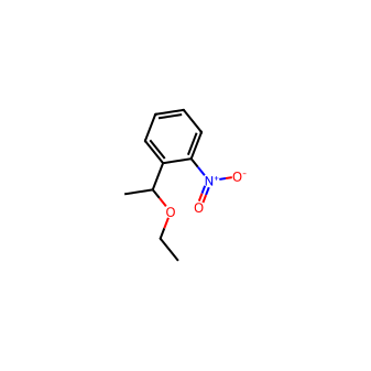 CCOC(C)c1ccccc1[N+](=O)[O-]